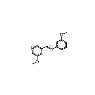 COc1cncc(/C=N/c2cccc(OC)c2)c1